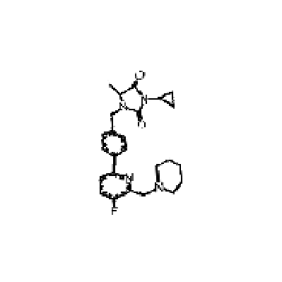 O=C1C(I)N(Cc2ccc(-c3ccc(F)c(CN4CCCCC4)n3)cc2)C(=O)N1C1CC1